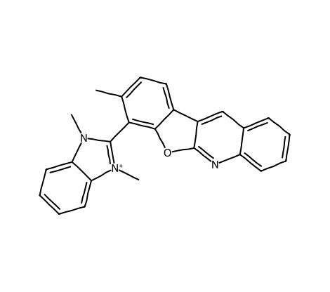 Cc1ccc2c(oc3nc4ccccc4cc32)c1-c1n(C)c2ccccc2[n+]1C